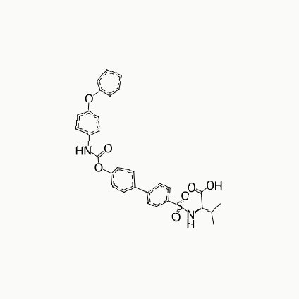 CC(C)[C@@H](NS(=O)(=O)c1ccc(-c2ccc(OC(=O)Nc3ccc(Oc4ccccc4)cc3)cc2)cc1)C(=O)O